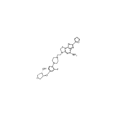 Nc1nc2c(c3nc(-c4ccco4)nn13)SCN2CCN1CCN(c2ccc(O[C@H]3COC[C@@H]3O)cc2F)CC1